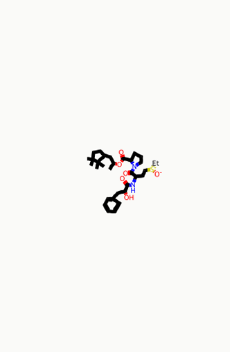 CC[S+]([O-])CCC(NC(=O)C(O)Cc1ccccc1)C(=O)N1CCCC1C(=O)OC(C)CC1CCC(C)(C)C1(C)C